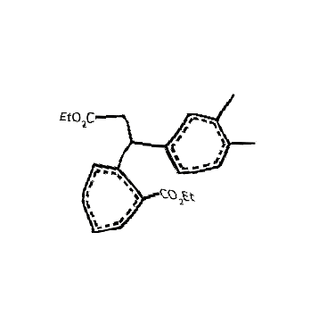 CCOC(=O)CC(c1ccc(C)c(C)c1)c1ccccc1C(=O)OCC